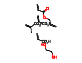 C=C(C)C(=O)O.C=CC(=O)O.C=CC(=O)O.C=CCOC(=O)C=C.OCCO